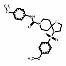 COc1ccc(NC(=O)N2CCC3(CC2)OCCN3S(=O)(=O)c2ccc(OC)cc2)cc1